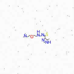 CS/C(=N/CNCCOCCN(C)C)C1N=CNC1C